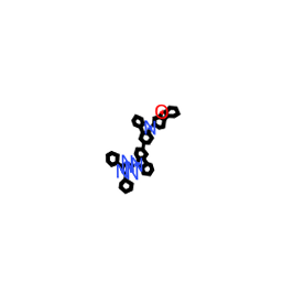 c1ccc(-c2nc(-c3ccccc3)nc(-n3c4ccccc4c4cc(-c5ccc6c(c5)c5ccccc5n6-c5ccc6c(c5)oc5ccccc56)ccc43)n2)cc1